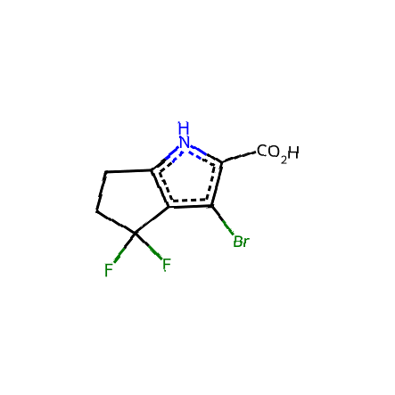 O=C(O)c1[nH]c2c(c1Br)C(F)(F)CC2